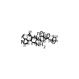 C=Cc1cc(-c2cc(N)c(N3CCN(C(=O)C[C@H]4CCCO4)[C@H](CCC)C3)nc2C2CC2)ccn1